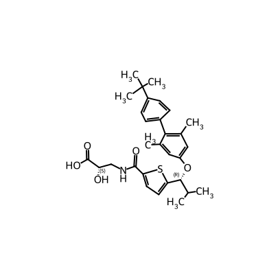 Cc1cc(O[C@@H](c2ccc(C(=O)NC[C@H](O)C(=O)O)s2)C(C)C)cc(C)c1-c1ccc(C(C)(C)C)cc1